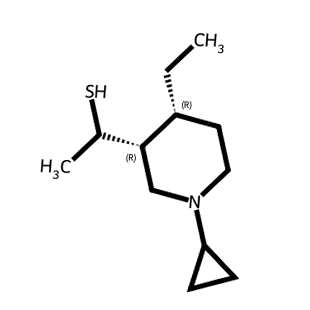 CC[C@@H]1CCN(C2CC2)C[C@@H]1C(C)S